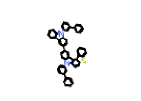 c1ccc(-c2cccc(-n3c4ccccc4c4cc(-c5ccc6c(c5)c5c7c(ccc5n6-c5cccc(-c6ccccc6)c5)sc5ccccc57)ccc43)c2)cc1